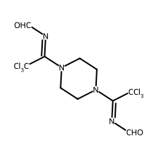 O=C/N=C(/N1CCN(/C(=N/C=O)C(Cl)(Cl)Cl)CC1)C(Cl)(Cl)Cl